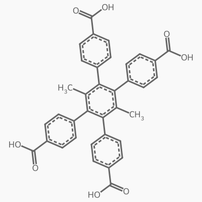 Cc1c(-c2ccc(C(=O)O)cc2)c(-c2ccc(C(=O)O)cc2)c(C)c(-c2ccc(C(=O)O)cc2)c1-c1ccc(C(=O)O)cc1